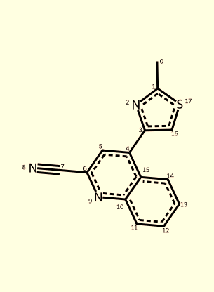 Cc1nc(-c2cc(C#N)nc3ccccc23)cs1